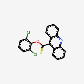 S=C(Oc1c(Cl)cccc1Cl)c1c2ccccc2nc2ccccc12